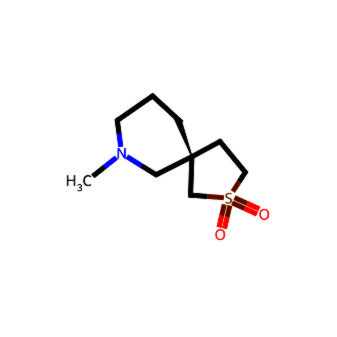 CN1CCC[C@]2(CCS(=O)(=O)C2)C1